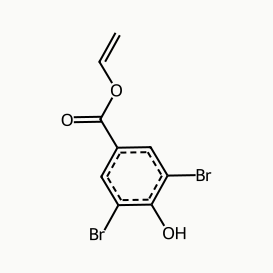 C=COC(=O)c1cc(Br)c(O)c(Br)c1